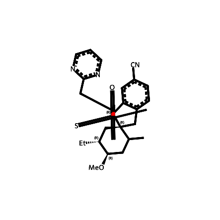 CC[C@@H]1C[C@@]2(Cc3ccc(C#N)cc3[C@]23NC(=S)N(Cc2ncccn2)C3=O)C(C)C[C@H]1OC